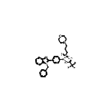 O=C(ON(c1ccc(-c2nc3ccccc3n2Cc2ccccc2)cc1)S(=O)(=O)CCCN1CCOCC1)C(F)(F)F